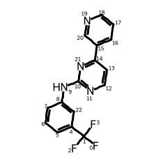 FC(F)(F)c1cccc(Nc2nccc(-c3cccnc3)n2)c1